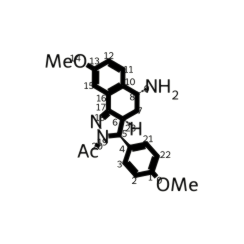 COc1ccc([C@@H]2[C@@H]3C[C@@H](N)c4ccc(OC)cc4C3=NN2C(C)=O)cc1